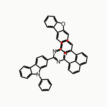 c1ccc(-c2cccc3cccc(-c4nc(-c5ccc6oc7ccccc7c6c5)nc(-c5ccc6c7ccccc7n(-c7ccccc7)c6c5)n4)c23)cc1